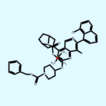 CC(C)(C)OC(=O)N1C2CCC1CN(c1nc(OC3CCN(C(=O)OCc4ccccc4)CC3)nc3c(F)c(-c4cccc5cccc(Cl)c45)ncc13)C2